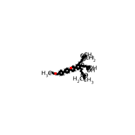 C=C(C)C(=O)OCCCc1cc(-c2ccc(-c3ccc(-c4ccc(CCCCC)cc4)cc3)cc2)cc(CCCOC(=O)C(=C)C)c1OCCC(CO)CO